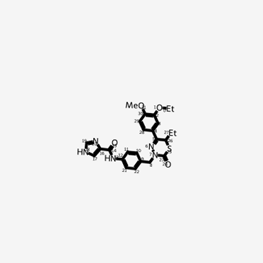 CCOc1cc(C2=NN(Cc3ccc(NC(=O)c4c[nH]cn4)cc3)C(=O)SC2CC)ccc1OC